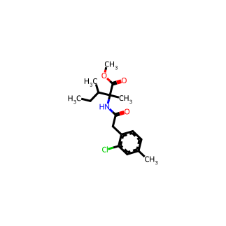 CCC(C)C(C)(NC(=O)Cc1ccc(C)cc1Cl)C(=O)OC